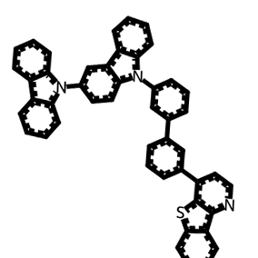 c1cc(-c2cccc(-n3c4ccccc4c4cc(-n5c6ccccc6c6ccccc65)ccc43)c2)cc(-c2ccnc3c2sc2ccccc23)c1